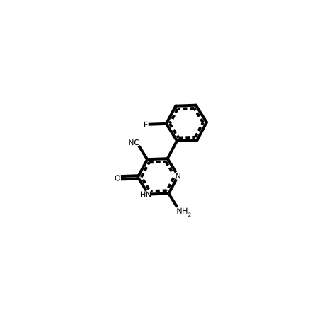 N#Cc1c(-c2ccccc2F)nc(N)[nH]c1=O